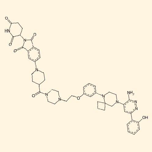 Nc1nnc(-c2ccccc2O)cc1N1CCN(c2cccc(OCCN3CCN(C(=O)C4CCN(c5ccc6c(c5)C(=O)N(C5CCC(=O)NC5=O)C6=O)CC4)CC3)c2)C2(CCC2)C1